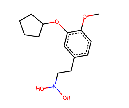 COc1ccc(CCN(O)O)cc1OC1CCCC1